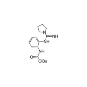 CC(C)COC(=O)Nc1ccccc1NC(=N)N1CCCC1